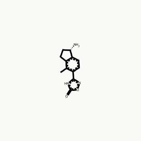 Cc1c(-c2noc(=O)[nH]2)ccc2c1CC[C@@H]2N